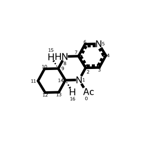 CC(=O)N1c2ccncc2N[C@@H]2CCCC[C@@H]21